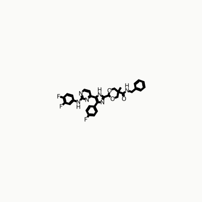 CC1(C(=O)NCc2ccccc2)COC(c2nc(-c3ccc(F)cc3)c(-c3ccnc(Nc4ccc(F)c(F)c4)n3)[nH]2)OC1